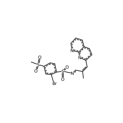 CC(C=NS(=O)(=O)c1ccc(S(C)(=O)=O)cc1Br)=Cc1ccc2cccnc2n1